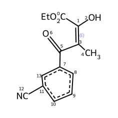 CCOC(=O)/C(O)=C(/C)C(=O)c1cccc(C#N)c1